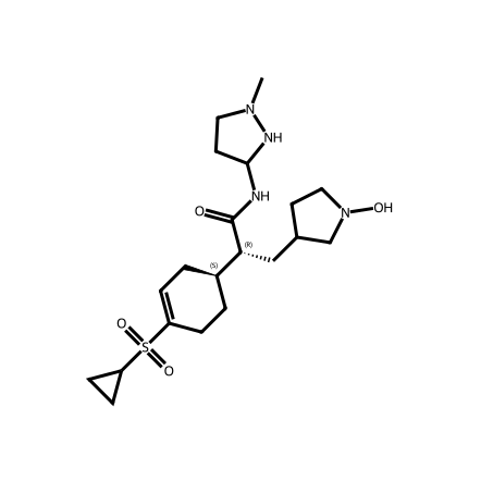 CN1CCC(NC(=O)[C@H](CC2CCN(O)C2)[C@@H]2CC=C(S(=O)(=O)C3CC3)CC2)N1